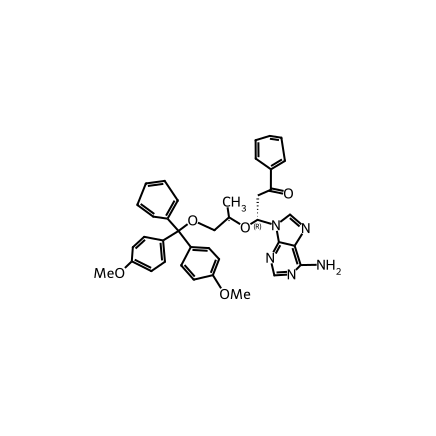 COc1ccc(C(OC[C](C)O[C@H](CC(=O)c2ccccc2)n2cnc3c(N)ncnc32)(c2ccccc2)c2ccc(OC)cc2)cc1